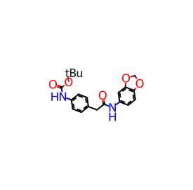 CC(C)(C)OC(=O)Nc1ccc(CC(=O)Nc2ccc3c(c2)OCO3)cc1